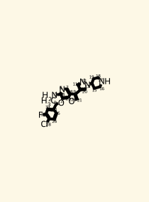 CC(Oc1c(N)ncc2c(-c3cnn(C4CCNCC4)c3)coc12)c1ccc(Cl)c(F)c1